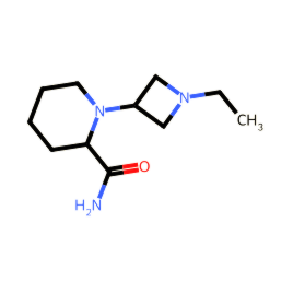 CCN1CC(N2CCCCC2C(N)=O)C1